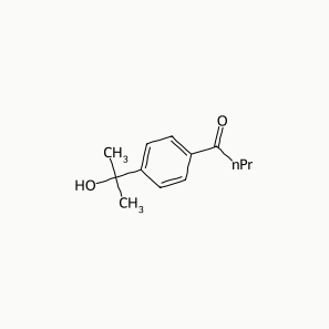 CCCC(=O)c1ccc(C(C)(C)O)cc1